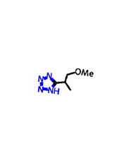 COCC(C)c1nnn[nH]1